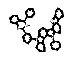 c1ccc(C2=c3ccccc3=NC(c3cccc(-n4c5ccccc5c5c4ccc4c6c7oc8ccccc8c7ccc6n(-c6ccccc6)c45)c3)N2)cc1